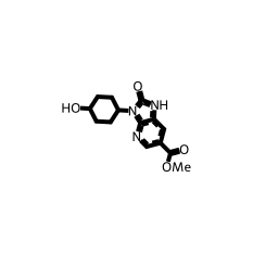 COC(=O)c1cnc2c(c1)[nH]c(=O)n2C1CCC(O)CC1